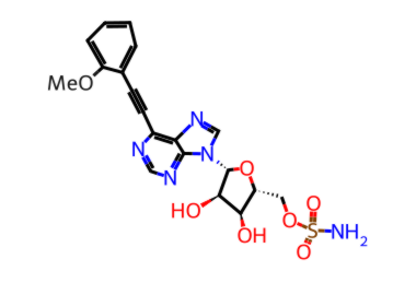 COc1ccccc1C#Cc1ncnc2c1ncn2[C@@H]1O[C@H](COS(N)(=O)=O)[C@@H](O)[C@H]1O